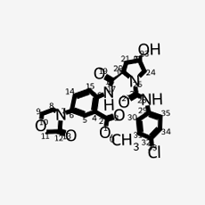 COC(=O)c1cc(N2CCOCC2=O)ccc1NC(=O)[C@H]1C[C@@H](O)CN1C(=O)Nc1ccc(Cl)cc1